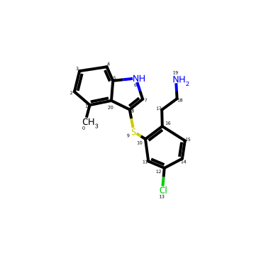 Cc1cccc2[nH]cc(Sc3cc(Cl)ccc3CCN)c12